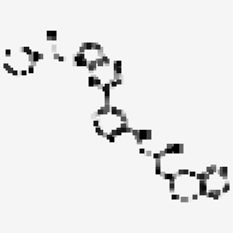 O=C(Cn1ccc2cnc(-c3ccnc(NCC(O)CN4CCc5ccccc5C4)c3)nc21)N1CCCCC1